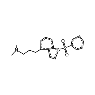 CN(C)CCCc1cccc2c1ccn2S(=O)(=O)c1ccccc1